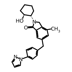 Cc1cc(Cc2ccc(-n3cccn3)cc2)cc2c1CN([C@H]1CCCC[C@@H]1O)C2=O